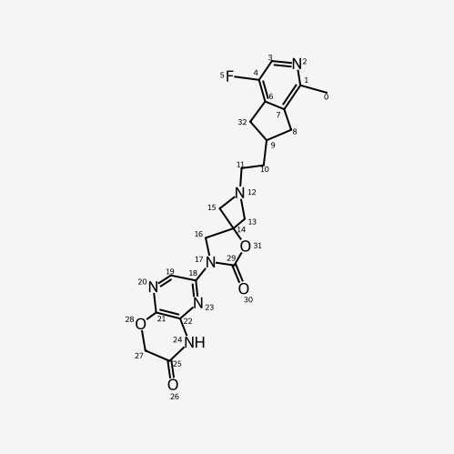 Cc1ncc(F)c2c1CC(CCN1CC3(C1)CN(c1cnc4c(n1)NC(=O)CO4)C(=O)O3)C2